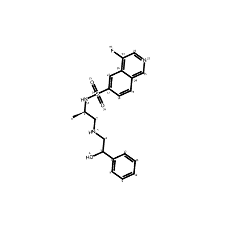 C[C@H](CNCC(O)c1ccccc1)NS(=O)(=O)c1ccc2cncc(F)c2c1